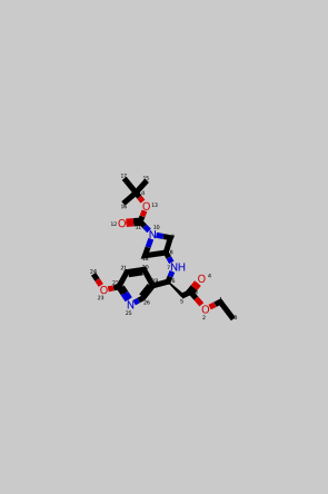 CCOC(=O)C[C@H](NC1CN(C(=O)OC(C)(C)C)C1)c1ccc(OC)nc1